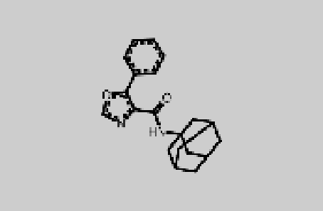 O=C(NC12CC3CC(CC(C3)C1)C2)c1ncoc1-c1ccccc1